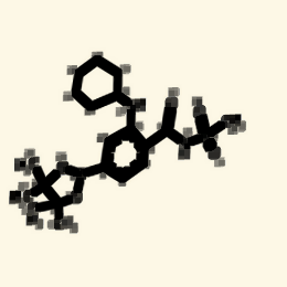 CC1(C)OB(c2ccc(C(=O)NS(C)(=O)=O)c(NC3CCCCC3)c2)OC1(C)C